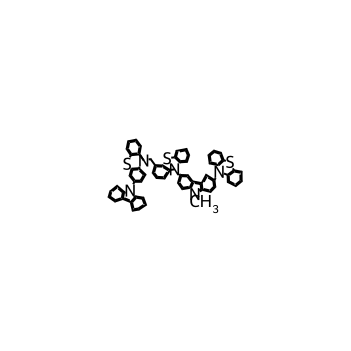 Cn1c2ccc(N3c4ccccc4Sc4ccccc43)cc2c2cc(N3c4ccccc4Sc4c(CN5c6ccccc6Sc6cc(-n7c8ccccc8c8ccccc87)ccc65)cccc43)ccc21